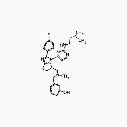 CN(C)CCNc1nccc(-c2c(-c3ccc(F)cc3)nc3n2C(CN(C)Cc2cccc(O)c2)CC3)n1